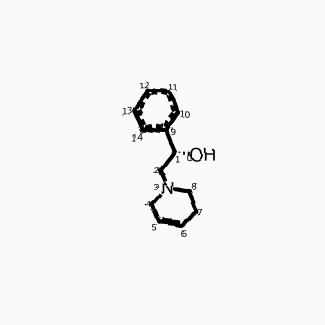 O[C@H](CN1CC=CCC1)c1ccccc1